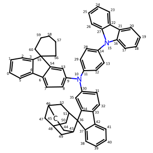 c1ccc2c(c1)-c1ccc(N(c3ccc(-n4c5ccccc5c5ccccc54)cc3)c3ccc4c(c3)C3(c5ccccc5-4)C4CCC5CC(C4)CC3C5)cc1C21CCCCC1